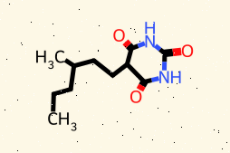 CCCC(C)CCC1C(=O)NC(=O)NC1=O